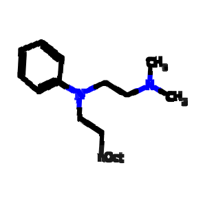 CCCCCCCCCCN(CCN(C)C)c1ccccc1